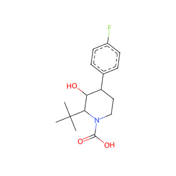 CC(C)(C)C1C(O)C(c2ccc(F)cc2)CCN1C(=O)O